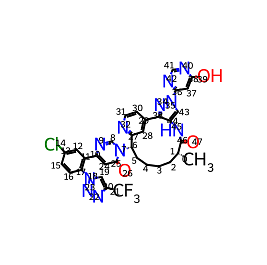 C[C@@H]1CCCC[C@H](n2cnc(-c3cc(Cl)ccc3-n3cc(C(F)(F)F)nn3)cc2=O)c2cc(ccn2)-c2nn(-c3cc(O)ncn3)cc2NC1=O